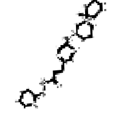 O=C(C=Cc1cnc(N[C@@H]2CCCN(C3(I)CCCCC3)C2)cn1)NOC1CCCCO1